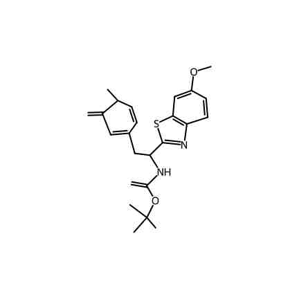 C=C(NC(CC1=CC(=C)C(C)C=C1)c1nc2ccc(OC)cc2s1)OC(C)(C)C